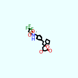 C[C@@H](NS(=O)(=O)CC(F)(F)F)c1ccc(CCC2(C3CCCC3)CC(=O)CC(=O)O2)cc1